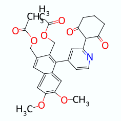 COc1cc2cc(COC(C)=O)c(COC(C)=O)c(-c3ccnc(C4C(=O)CCCC4=O)c3)c2cc1OC